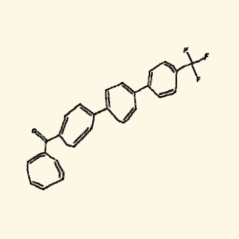 O=C(c1ccccc1)c1ccc(-c2ccc(-c3ccc(C(F)(F)F)cc3)cc2)cc1